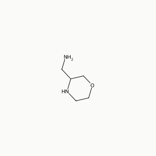 NCC1COCCN1